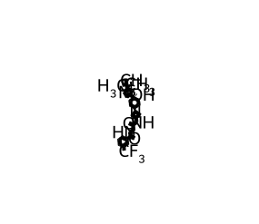 C[Si](C)(C)c1ncc([C@]2(O)CC[C@H](N3CC(NC(=O)CNC(=O)c4cccc(C(F)(F)F)c4)C3)CC2)s1